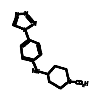 O=C(O)N1CCC(Nc2ccc(-n3cnnn3)cc2)CC1